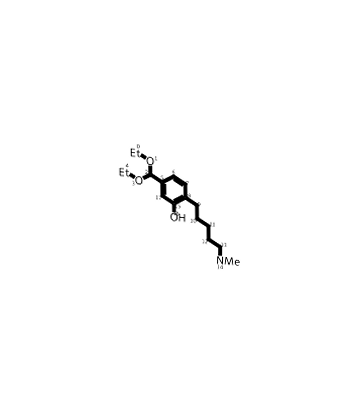 CCOC(OCC)c1ccc(CCCCCNC)c(O)c1